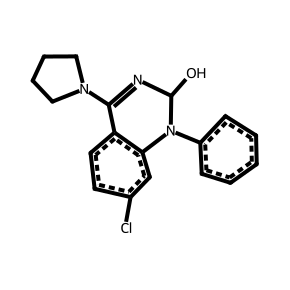 OC1N=C(N2CCCC2)c2ccc(Cl)cc2N1c1ccccc1